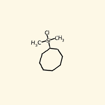 C[Si](C)(Cl)C1CCCCCCC1